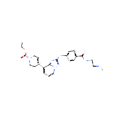 CCOC(=O)N1CC=C(c2cccn3nc(Nc4ccc(C(=O)NCCNC)cc4)nc23)CC1